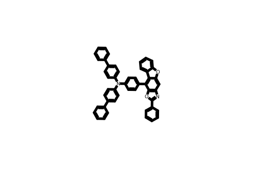 c1ccc(-c2ccc(N(c3ccc(-c4ccccc4)cc3)c3ccc(-c4c5oc(-c6ccccc6)nc5cc5oc6ccccc6c45)cc3)cc2)cc1